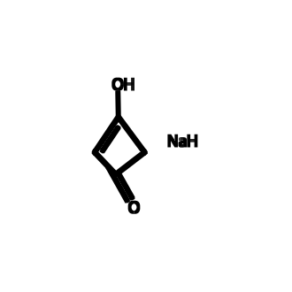 O=C1C=C(O)C1.[NaH]